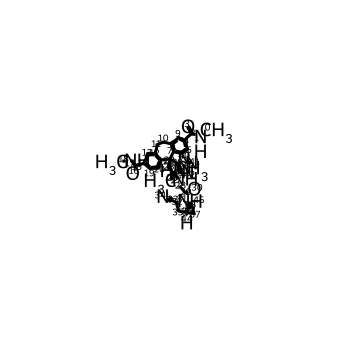 CNC(=O)c1ccc2c(c1)CCc1cc(C(=O)NC)ccc1C2(CC(C)(C)NCC(=O)N1C(C#N)C[C@@H]2C[C@@H]21)c1nnn[nH]1